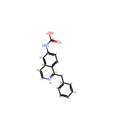 O=C(O)Nc1ccc2c(Cc3ccccc3)nccc2c1